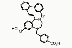 Cl.O=C(O)c1ccc(CN2CCN=C(/C=C/c3cnccc3-c3cccc(Br)c3)c3ccc(Cl)cc32)cc1